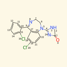 O=C1CNC(N2CCN=C(c3ccccc3Cl)c3cc(Cl)ccc32)=N1